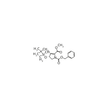 COC(=O)C1=C[C@@H](O[Si](C)(C)C(C)(C)C)CN1C(=O)OCc1ccccc1